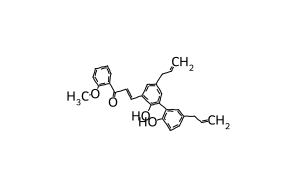 C=CCc1ccc(O)c(-c2cc(CC=C)cc(C=CC(=O)c3ccccc3OC)c2O)c1